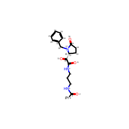 CC(C)C(=O)NCCCNC(=O)C(=O)[C@H]1CCC(=O)N1Cc1ccccc1